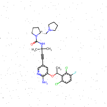 CC(Oc1cc(C#CC(C)(C)NC(=O)N2CCC[C@@H]2CN2CCCC2)cnc1N)c1c(Cl)ccc(F)c1Cl